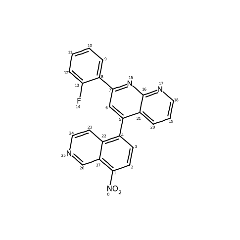 O=[N+]([O-])c1ccc(-c2cc(-c3ccccc3F)nc3ncccc23)c2ccncc12